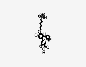 COc1cc2c(cc1OCCCCCCNS(C)(=O)=O)[C@H]1CCC(C)(C)[C@H]1n1cc(C(=O)O)c(=O)cc1-2